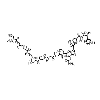 CC(C)C[C@H](NC(=O)CNC(=O)[C@H](CC(N)=O)NC(=O)[C@H](CO)NC(=O)CNC(=O)CNC(=O)CNC(=O)[C@H](CO)NC(=O)CNC(=O)CNC(=O)CNC(=O)[C@@H](N)CO)C(=O)N[C@@H](Cc1c[nH]cn1)C(=O)O